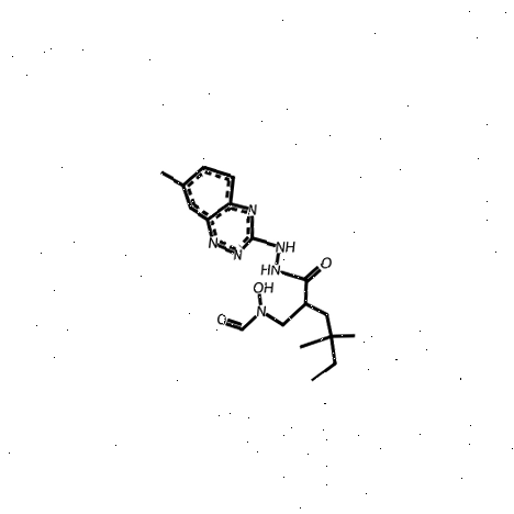 CCC(C)(C)CC(CN(O)C=O)C(=O)NNc1nnc2cc(C)ccc2n1